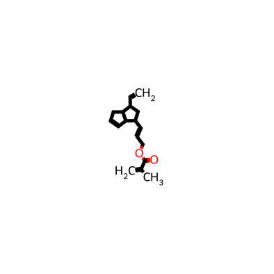 C=CC1CC(C=CCOC(=O)C(=C)C)C2C=CCC12